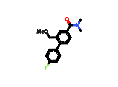 COCc1cc(C(=O)N(C)C)ccc1-c1ccc(F)cc1